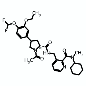 CCOc1cc(C2C[C@H](C(=O)NCc3cccnc3C(=O)N(C)C3CCCCC3)N(C(C)=O)C2)ccc1OC(F)F